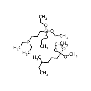 CCO[Si](CCCP(CC)CC)(OCC)OCC.CCP(C)CCC[Si](OC)(OC)OC